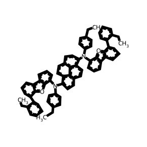 CCc1ccc(N(c2ccc3ccc4c(N(c5ccc(CC)cc5)c5cccc6c5oc5c(-c7ccccc7CC)cccc56)ccc5ccc2c3c54)c2cccc3c2oc2c(-c4ccccc4CC)cccc23)cc1